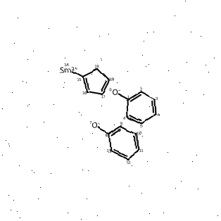 [O-]c1ccccc1.[O-]c1ccccc1.[Sm+2][C]1=CC=CC1